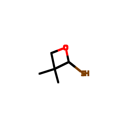 CC1(C)COC1S